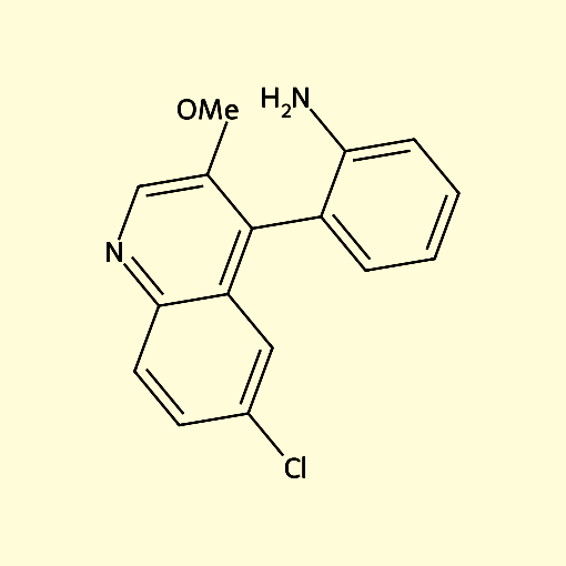 COc1cnc2ccc(Cl)cc2c1-c1ccccc1N